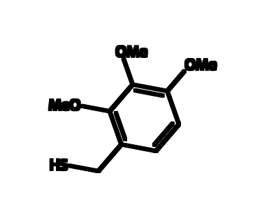 COc1ccc(CS)c(OC)c1OC